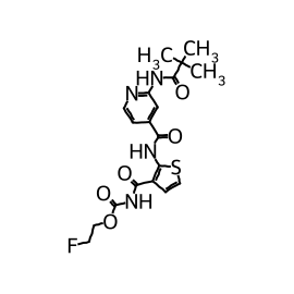 CC(C)(C)C(=O)Nc1cc(C(=O)Nc2sccc2C(=O)NC(=O)OCCF)ccn1